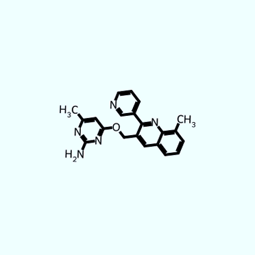 Cc1cc(OCc2cc3cccc(C)c3nc2-c2cccnc2)nc(N)n1